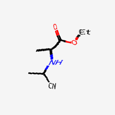 CCOC(=O)C(C)NC(C)C#N